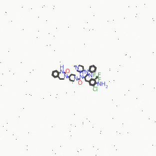 CN1CCC(n2c(C(Cc3cc(Cl)c(N)c(C(F)(F)F)c3)NC(=O)N3CCC(N4CCc5ccccc5NC4=O)CC3)nc3ccccc32)CC1